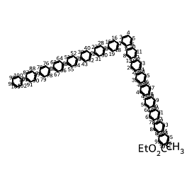 CCOC(C)=O.c1ccccc1.c1ccccc1.c1ccccc1.c1ccccc1.c1ccccc1.c1ccccc1.c1ccccc1.c1ccccc1.c1ccccc1.c1ccccc1.c1ccccc1.c1ccccc1.c1ccccc1.c1ccccc1.c1ccccc1.c1ccccc1.c1ccccc1